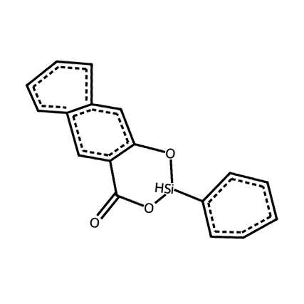 O=C1O[SiH](c2ccccc2)Oc2cc3ccccc3cc21